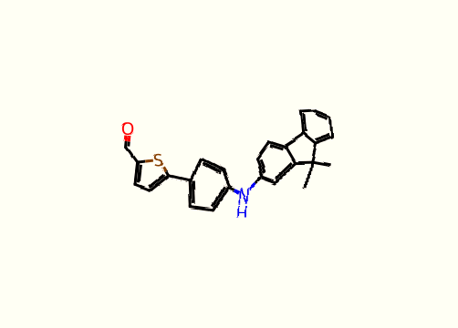 CC1(C)c2ccccc2-c2ccc(Nc3ccc(-c4ccc(C=O)s4)cc3)cc21